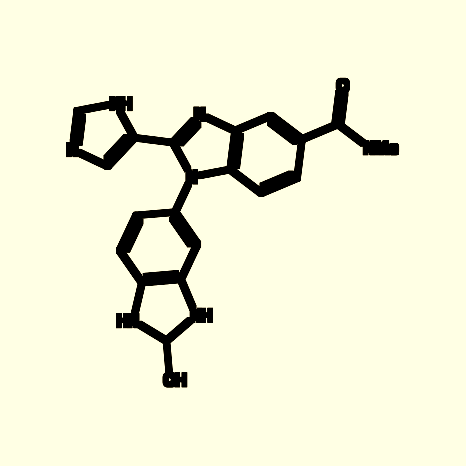 CNC(=O)c1ccc2c(c1)nc(-c1cnc[nH]1)n2-c1ccc2c(c1)NC(O)N2